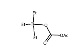 C[CH2][Ti]([CH2]C)([CH2]C)[O]C(=O)OC(C)=O